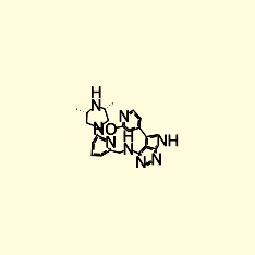 C[C@@H]1CN(c2cccc(CNc3ncnc4[nH]cc(-c5ccnc(O)c5)c34)n2)C[C@H](C)N1